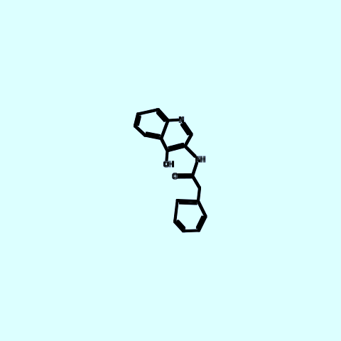 O=C(Cc1ccccc1)Nc1cnc2ccccc2c1O